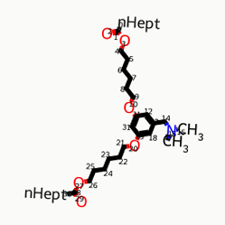 CCCCCCCC(=O)OCCCCCCOc1cc(CN(C)C)cc(OCCCCCCOC(=O)CCCCCCC)c1